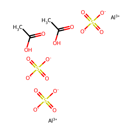 CC(=O)O.CC(=O)O.O=S(=O)([O-])[O-].O=S(=O)([O-])[O-].O=S(=O)([O-])[O-].[Al+3].[Al+3]